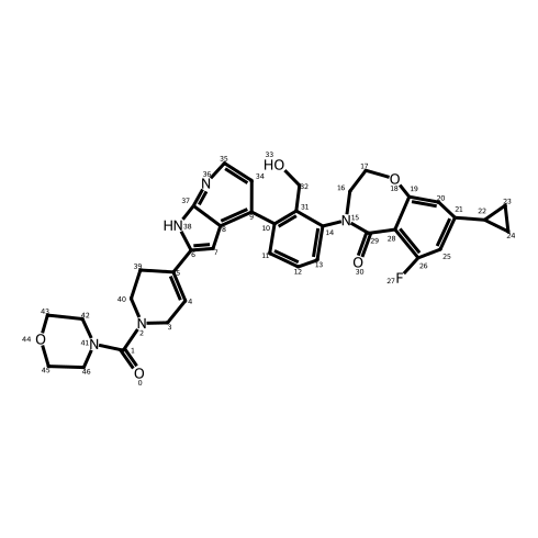 O=C(N1CC=C(c2cc3c(-c4cccc(N5CCOc6cc(C7CC7)cc(F)c6C5=O)c4CO)ccnc3[nH]2)CC1)N1CCOCC1